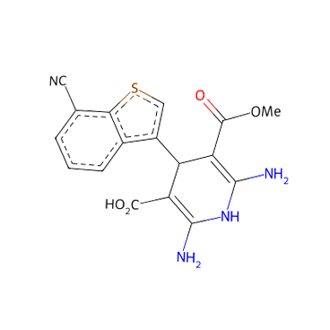 COC(=O)C1=C(N)NC(N)=C(C(=O)O)C1c1csc2c(C#N)cccc12